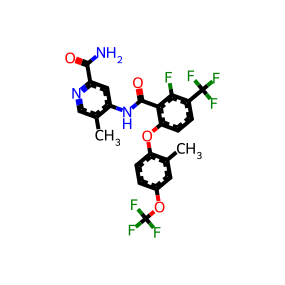 Cc1cnc(C(N)=O)cc1NC(=O)c1c(Oc2ccc(OC(F)(F)F)cc2C)ccc(C(F)(F)F)c1F